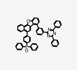 O=P(c1ccccc1)(c1ccccc1)c1ccc(-c2cc3c(oc4cccc(-c5cccc(-c6nc(-c7ccccc7)nc(-c7ccccc7)n6)c5)c43)c3ccccc23)cc1